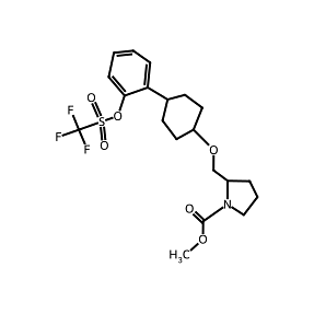 COC(=O)N1CCCC1COC1CCC(c2ccccc2OS(=O)(=O)C(F)(F)F)CC1